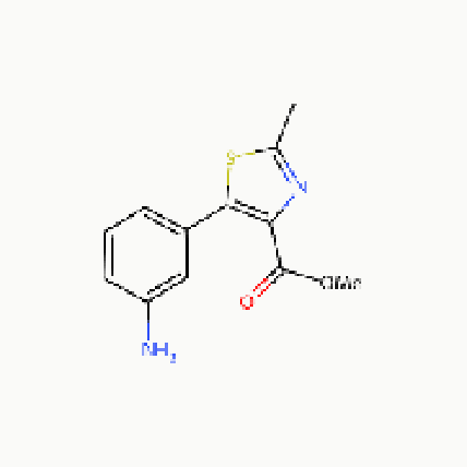 COC(=O)c1nc(C)sc1-c1cccc(N)c1